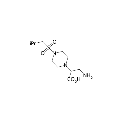 CC(C)CS(=O)(=O)N1CCN(C(CN)C(=O)O)CC1